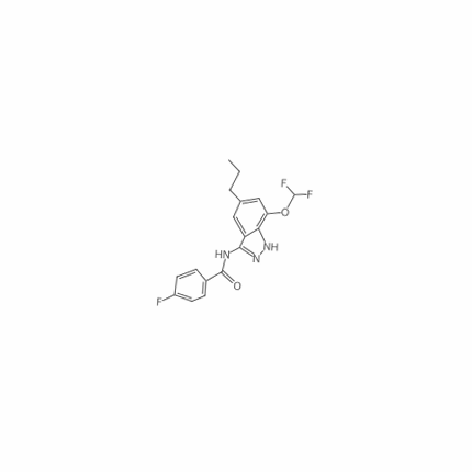 CCCc1cc(OC(F)F)c2[nH]nc(NC(=O)c3ccc(F)cc3)c2c1